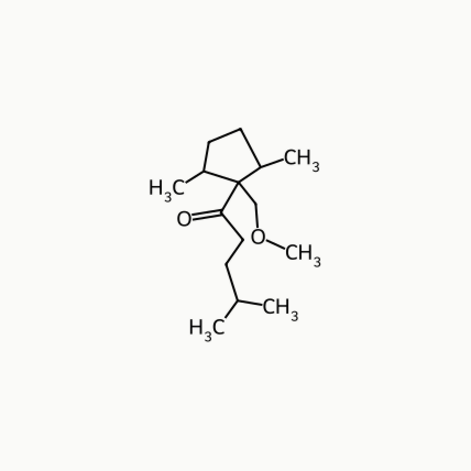 COCC1(C(=O)CCC(C)C)C(C)CCC1C